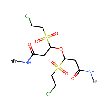 CCCNC(=O)CC(OC(CC(=O)NCCC)S(=O)(=O)CCCl)S(=O)(=O)CCCl